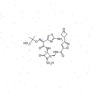 CC(C)(O/N=C(\C(=O)N[C@@H]1C(=O)N(S(=O)(=O)O)[C@@H]1CNC(=O)c1cc(C2CNC2)no1)c1csc(N)n1)C(=O)O